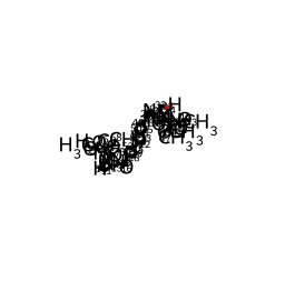 COC(=O)N[C@H](C(=O)N1CCC[C@H]1CNC(=O)c1ccc(-c2ccc3cc(-c4cnc([C@@H]5CCCN5C(=O)[C@@H](NC(=O)OC)[C@@H](C)OC)[nH]4)ccc3c2)cc1)[C@@H](C)OC